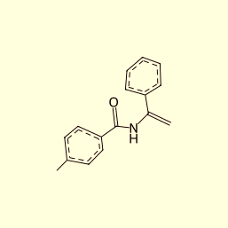 C=C(NC(=O)c1ccc(C)cc1)c1ccccc1